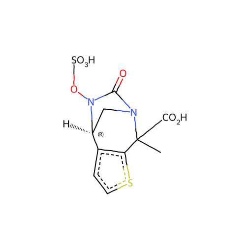 CC1(C(=O)O)c2sccc2[C@@H]2CN1C(=O)N2OS(=O)(=O)O